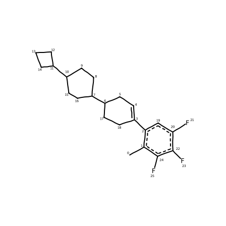 Cc1c(C2=CCC(C3CCC(C4CCC4)CC3)CC2)cc(F)c(F)c1F